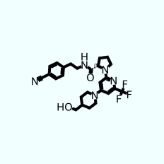 N#Cc1ccc(CCNC(=O)[C@@H]2CCCN2c2cc(N3CCC(CO)CC3)cc(C(F)(F)F)n2)cc1